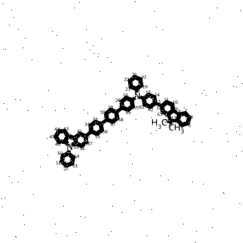 CC1(C)c2ccccc2-c2ccc(-c3ccc(N(c4ccccc4)c4ccc(-c5ccc(-c6ccc(-c7ccc8c(c7)c7ccccc7n8-c7ccccc7)cc6)cc5)cc4)cc3)cc21